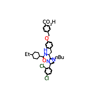 CCCCn1cc(-c2ccc(Cl)cc2Cl)nc1[C@H](Cc1ccc(OCc2ccc(C(=O)O)cc2)cc1)NC(=O)C1CCC(CC)CC1